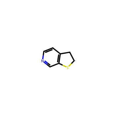 [CH]1Cc2ccncc2S1